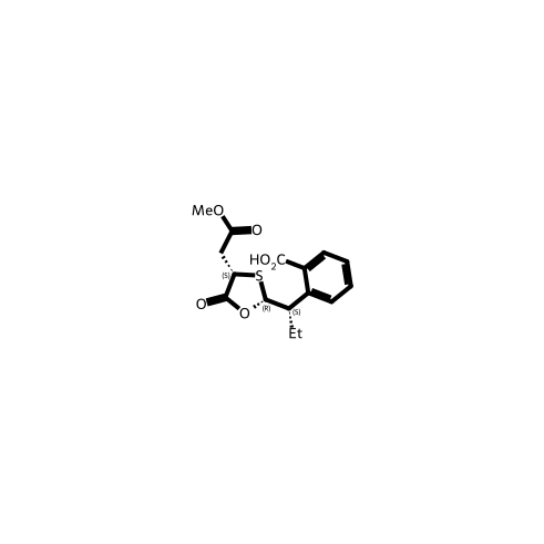 CC[C@@H](c1ccccc1C(=O)O)[C@@H]1OC(=O)[C@H](CC(=O)OC)S1